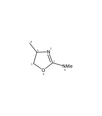 CNC1=NC(C)CO1